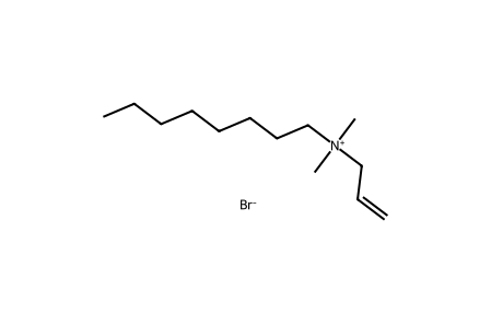 C=CC[N+](C)(C)CCCCCCCC.[Br-]